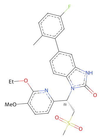 CCOc1nc([C@@H](CS(C)(=O)=O)n2c(=O)[nH]c3cc(-c4cc(F)ccc4C)ccc32)ccc1OC